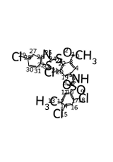 CC(=O)c1cc(NS(=O)(=O)c2cc(C)c(Cl)cc2Cl)cc(Cl)c1Sc1nc2cc(Cl)ccc2s1